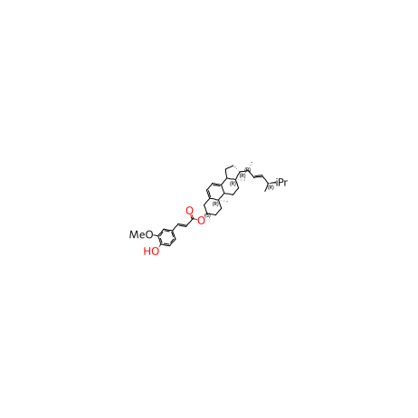 COc1cc(C=CC(=O)O[C@H]2CC[C@@]3(C)C(=CC=C4C3CC[C@@]3(C)C4CC[C@@H]3[C@H](C)C=C[C@H](C)C(C)C)C2)ccc1O